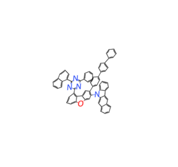 c1ccc(-c2ccc(-c3ccc(-c4cc5c(cc4-n4c6ccccc6c6cc7ccccc7cc64)oc4cccc(-c6nc(-c7ccccc7)nc(-c7cccc8ccccc78)n6)c45)cc3)cc2)cc1